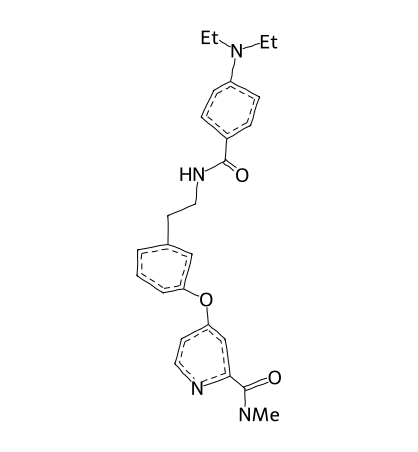 CCN(CC)c1ccc(C(=O)NCCc2cccc(Oc3ccnc(C(=O)NC)c3)c2)cc1